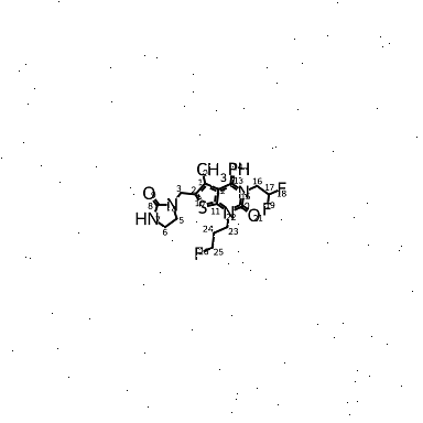 Cc1c(CN2CCNC2=O)sc2c1c(=P)n(CC(F)F)c(=O)n2CCCF